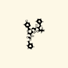 O=C(Cn1c(-c2ccc(Cl)cc2)ncc(NC(=O)OCc2ccccc2)c1=O)NC(Cc1ccccc1)C(=O)C(F)(F)F